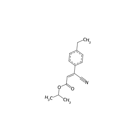 CCc1ccc(C(C#N)=CC(=O)OC(C)C)cc1